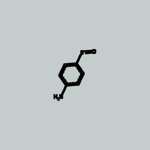 Nc1ccc([S+]=O)cc1